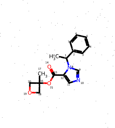 CC(c1ccccc1)n1cncc1C(=O)OC1(C)COC1